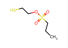 CCCS(=O)(=O)OCCS